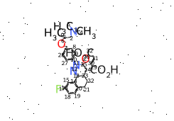 CC(CN(C)C)Oc1ccc(N2N=C3c4cc(F)ccc4CCC3CC2=O)cc1.O=C(O)C=CC(=O)O